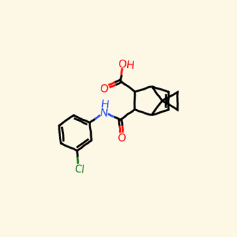 O=C(O)C1C(C(=O)Nc2cccc(Cl)c2)C2C=CC1C21CC1